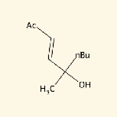 CCCCC(C)(O)/C=C/C(C)=O